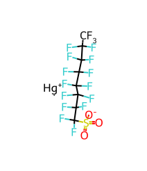 O=S(=O)([O-])C(F)(F)C(F)(F)C(F)(F)C(F)(F)C(F)(F)C(F)(F)C(F)(F)C(F)(F)F.[Hg+]